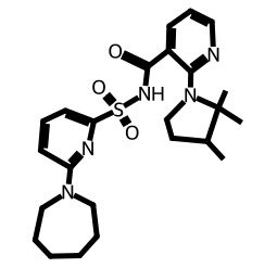 CC1CCN(c2ncccc2C(=O)NS(=O)(=O)c2cccc(N3CCCCCC3)n2)C1(C)C